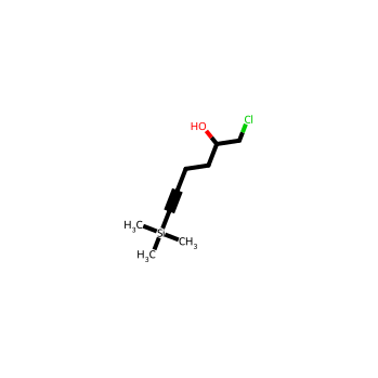 C[Si](C)(C)C#CCCC(O)CCl